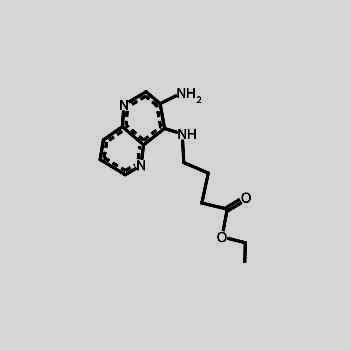 CCOC(=O)CCCNc1c(N)cnc2cccnc12